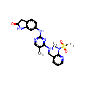 CN(c1ncccc1CNc1nc(Nc2ccc3c(c2)NC(=O)C3)ncc1C(F)(F)F)S(C)(=O)=O